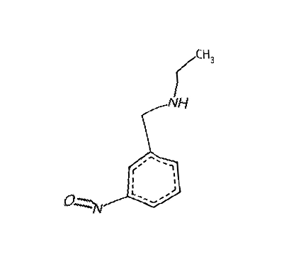 CCNCc1cccc(N=O)c1